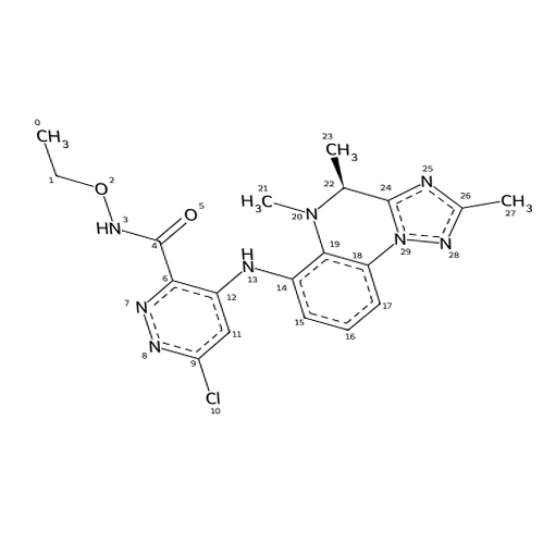 CCONC(=O)c1nnc(Cl)cc1Nc1cccc2c1N(C)[C@@H](C)c1nc(C)nn1-2